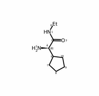 CCNC(=O)[C@H](N)C1CCCC1